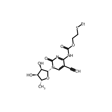 C#Cc1cn([C@@H]2O[C@H](C)[C@@H](O)[C@H]2O)c(=O)nc1NC(=O)OCCSCC